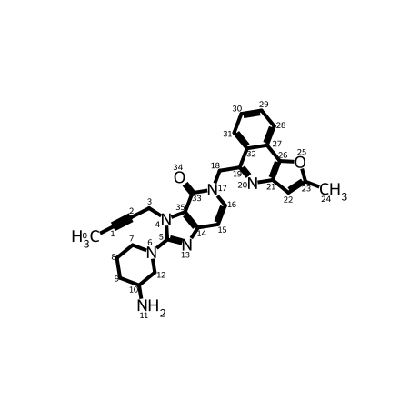 CC#CCn1c(N2CCCC(N)C2)nc2ccn(Cc3nc4cc(C)oc4c4ccccc34)c(=O)c21